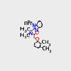 CCCn1c(C(C)N(C)C(=O)COc2cccc(C)c2C)nc2ccccc21